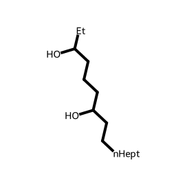 CCCCCCCCCC(O)CCCC(O)CC